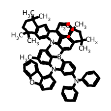 Cc1cc2c3c(c1)N(c1cccc4oc5ccccc5c14)c1cc(N(c4ccccc4)c4ccccc4)ccc1B3c1cc3c(cc1N2c1cc2c(cc1-c1ccccc1)C(C)(C)CCC2(C)C)C(C)(C)CC3(C)C